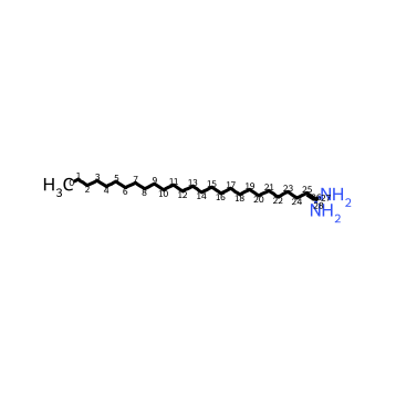 CCCCCCCCCCCCCCCCCCCCCCCCCC=C(N)N